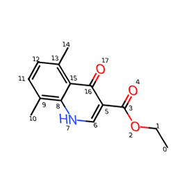 CCOC(=O)c1c[nH]c2c(C)ccc(C)c2c1=O